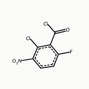 O=C(Cl)c1c(F)ccc([N+](=O)[O-])c1Cl